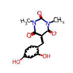 CN1C(=O)C(=Cc2ccc(O)cc2O)C(=O)N(C)C1=O